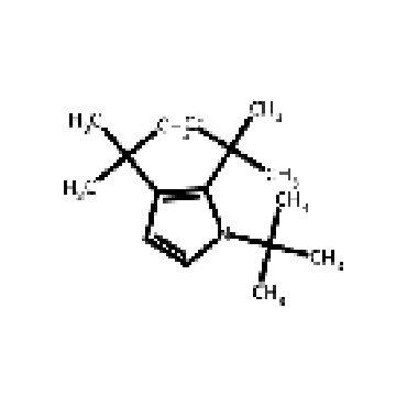 CC(C)(C)c1ccn(C(C)(C)C)c1C(C)(C)C